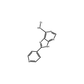 CCNc1ncnc2[nH]c(-c3ccncc3)nc12